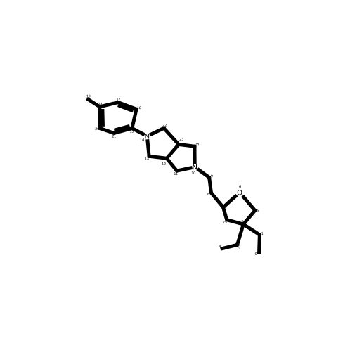 CCC1(CC)COC(CCN2CC3CN(c4ccc(C)cc4)CC3C2)C1